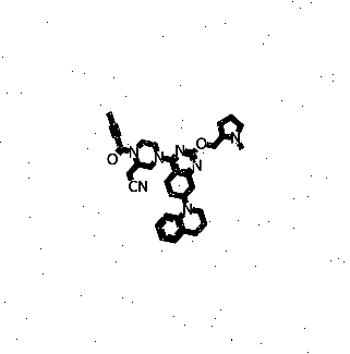 CC#CC(=O)N1CCN(c2nc(OCC3CCCN3C)nc3c2CCC(N2CCCc4ccccc42)C3)CC1CC#N